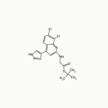 CC(C)(C)OC(=O)CNc1cc(-c2cn[nH]c2)c2ccc(Cl)c(Cl)c2n1